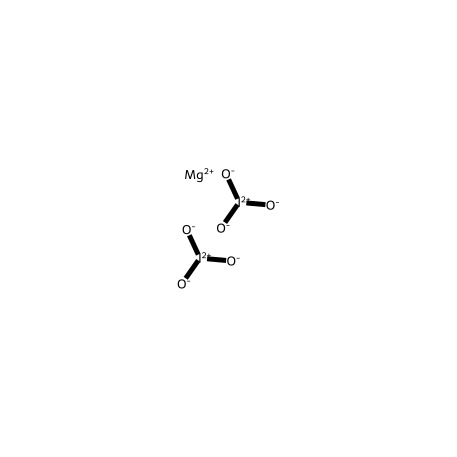 [Mg+2].[O-][I+2]([O-])[O-].[O-][I+2]([O-])[O-]